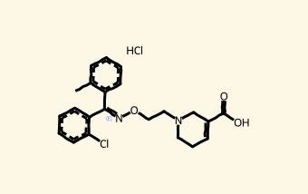 Cc1ccccc1/C(=N\OCCN1CCC=C(C(=O)O)C1)c1ccccc1Cl.Cl